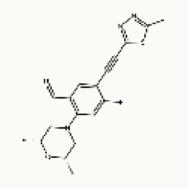 Cc1nnc(C#Cc2cc(C=O)c(N3C[C@@H](C)O[C@@H](C)C3)cc2F)s1